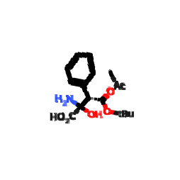 CC(C)(C)OC(=O)[C@@H](c1ccccc1)[C@@](N)(O)C(=O)O.CC(C)=O